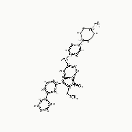 CCn1c(=O)c2cnc(Nc3ccc(N4CCN(C)CC4)cc3)nc2n1-c1cccc(-c2cnccn2)n1